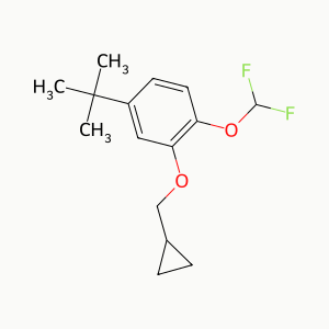 CC(C)(C)c1ccc(OC(F)F)c(OCC2CC2)c1